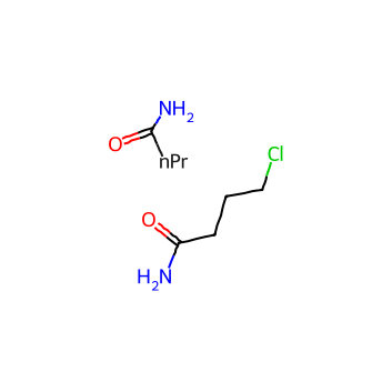 CCCC(N)=O.NC(=O)CCCCl